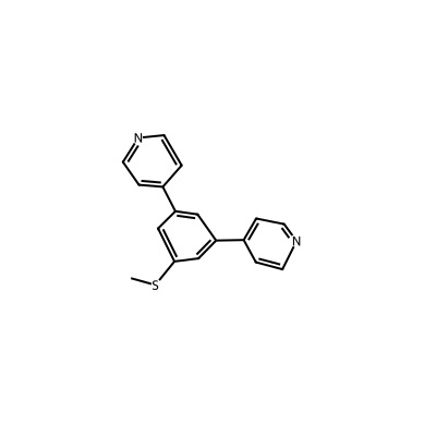 CSc1cc(-c2ccncc2)cc(-c2ccncc2)c1